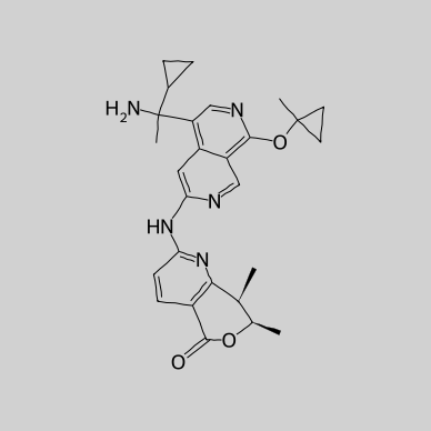 C[C@@H]1c2nc(Nc3cc4c(C(C)(N)C5CC5)cnc(OC5(C)CC5)c4cn3)ccc2C(=O)O[C@@H]1C